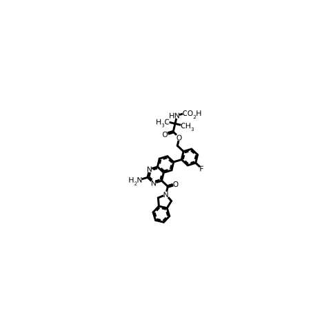 CC(C)(NC(=O)O)C(=O)OCc1ccc(F)cc1-c1ccc2nc(N)nc(C(=O)N3Cc4ccccc4C3)c2c1